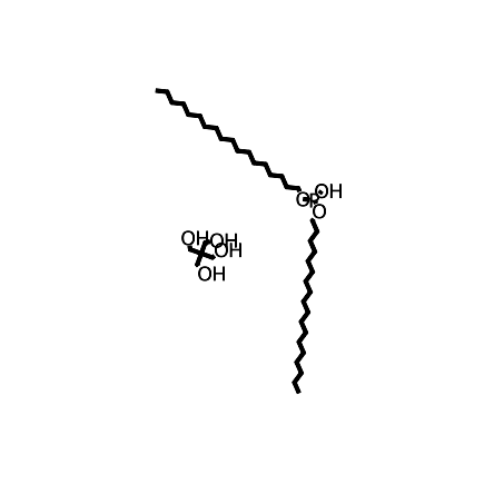 CCCCCCCCCCCCCCCCCCOP(O)OCCCCCCCCCCCCCCCCCC.OCC(CO)(CO)CO